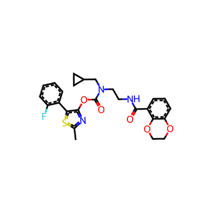 Cc1nc(OC(=O)N(CCNC(=O)c2cccc3c2OCCO3)CC2CC2)c(-c2ccccc2F)s1